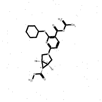 C=C(C)OC(=O)c1ccc(N2C[C@@H]3[C@H](C2)[C@H]3C(=O)OC)nc1SC1CCCCC1